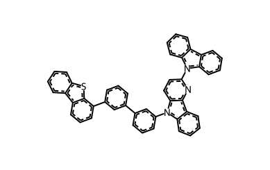 c1cc(-c2cccc(-n3c4ccccc4c4nc(-n5c6ccccc6c6ccccc65)ccc43)c2)cc(-c2cccc3c2sc2ccccc23)c1